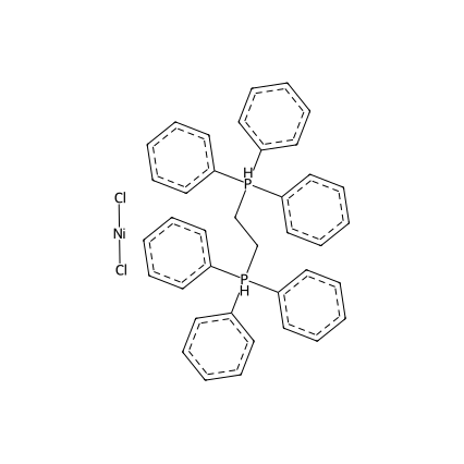 [Cl][Ni][Cl].c1ccc([PH](CC[PH](c2ccccc2)(c2ccccc2)c2ccccc2)(c2ccccc2)c2ccccc2)cc1